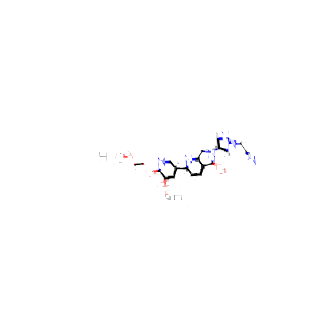 COCCOc1ncc(-c2ccc3c(n2)CN(c2cnn(CC#N)c2)C3=O)cc1OC